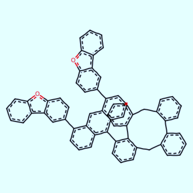 c1ccc2c(c1)Cc1ccccc1-c1c(cccc1-c1c3cccc(-c4ccc5oc6ccccc6c5c4)c3cc3c(-c4ccc5oc6ccccc6c5c4)cccc13)Cc1ccccc1-2